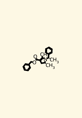 CC1=C(C(=O)OCc2ccccc2)C[C@H](C)N1[C@@H](C)c1ccccc1